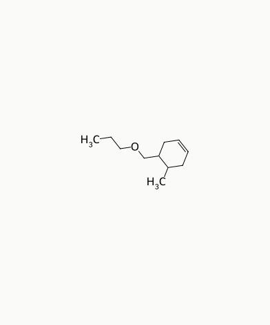 CCCOCC1CC=CCC1C